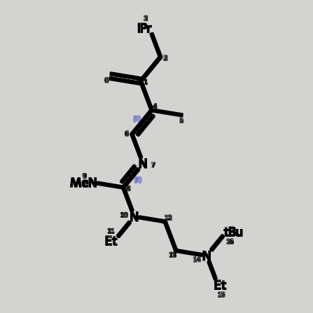 C=C(CC(C)C)/C(C)=C/N=C(\NC)N(CC)CCN(CC)C(C)(C)C